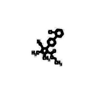 CCOC(=O)c1c(-c2ccc(-c3ccccc3Cl)cc2)c(C#N)c(C)n1C